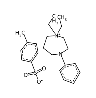 CC[N+]1(CC)CCCN(c2ccccc2)CC1.Cc1ccc(S(=O)(=O)[O-])cc1